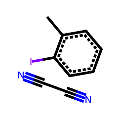 Cc1ccccc1I.N#CC#N